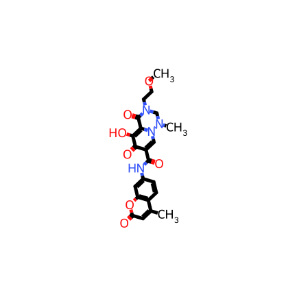 COCCN1CN(C)n2cc(C(=O)Nc3ccc4c(C)cc(=O)oc4c3)c(=O)c(O)c2C1=O